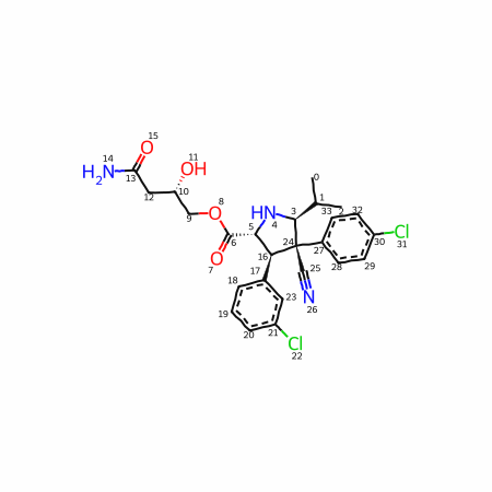 CC(C)[C@@H]1N[C@@H](C(=O)OC[C@@H](O)CC(N)=O)[C@H](c2cccc(Cl)c2)[C@@]1(C#N)c1ccc(Cl)cc1